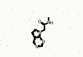 CNC(=O)Cn1ccc2cncnc21